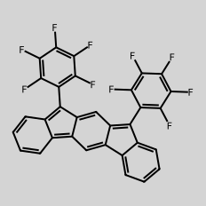 Fc1c(F)c(F)c(C2=c3cc4c(cc3-c3ccccc32)=c2ccccc2=C4c2c(F)c(F)c(F)c(F)c2F)c(F)c1F